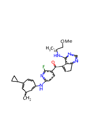 C=C1C=C(Nc2ccc(C(=O)C3=CCc4ncnc(N[C@H](C)COC)c43)c(F)n2)C=CC(C2CC2)=C1